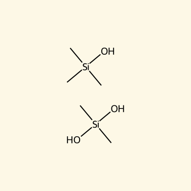 C[Si](C)(C)O.C[Si](C)(O)O